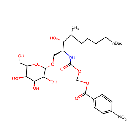 CCCCCCCCCCCCCC[C@@H](C)[C@@H](O)[C@H](CO[C@H]1OC(CO)[C@H](O)[C@H](O)C1O)NC(=O)OCOC(=O)c1ccc([N+](=O)[O-])cc1